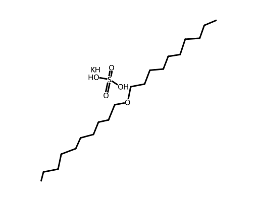 CCCCCCCCCCOCCCCCCCCCC.O=S(=O)(O)O.[KH]